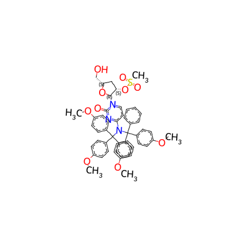 COc1ccc(C(c2ccccc2)(c2ccc(OC)cc2)N(c2ccn([C@@H]3O[C@H](CO)C[C@@H]3OS(C)(=O)=O)c(=O)n2)C(c2ccccc2)(c2ccc(OC)cc2)c2ccc(OC)cc2)cc1